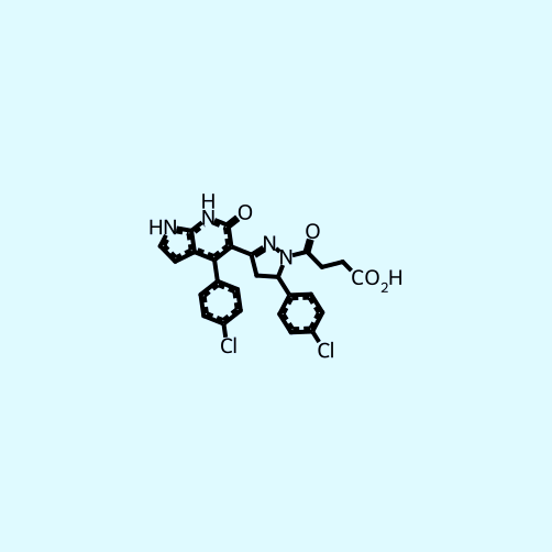 O=C(O)CCC(=O)N1N=C(c2c(-c3ccc(Cl)cc3)c3cc[nH]c3[nH]c2=O)CC1c1ccc(Cl)cc1